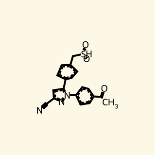 CC(=O)c1ccc(-n2nc(C#N)cc2-c2ccc(C[SH](=O)=O)cc2)cc1